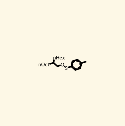 CCCCCCCCC(CCCCCC)COSc1ccc(C)cc1